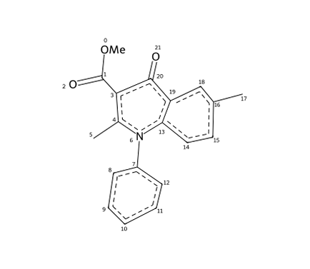 COC(=O)c1c(C)n(-c2ccccc2)c2ccc(C)cc2c1=O